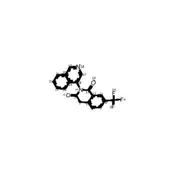 O=C1Cc2ccc(C(F)(F)F)cc2C(=O)N1c1cncc2ccccc12